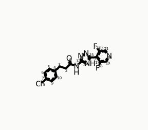 O=C(CCc1ccc(Cl)cc1)Nc1nnc(-c2c(F)cncc2F)[nH]1